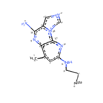 CNCCNc1cc(C)c2nc(N)c3cncn3c2n1